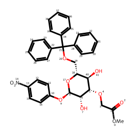 COC(=O)CO[C@@H]1[C@H](O)[C@@H](Oc2ccc([N+](=O)[O-])cc2)O[C@H](COC(c2ccccc2)(c2ccccc2)c2ccccc2)[C@H]1O